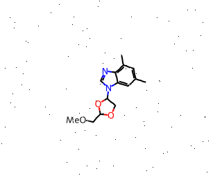 COCC1OCC(n2cnc3c(C)cc(C)cc32)O1